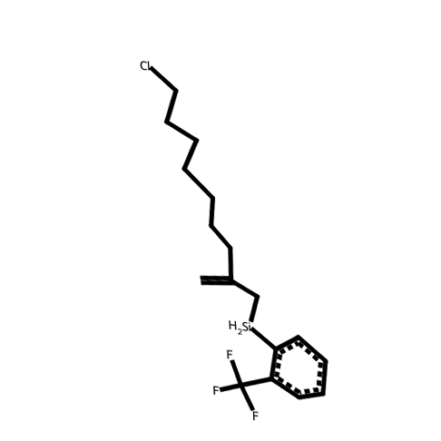 C=C(CCCCCCCCl)C[SiH2]c1ccccc1C(F)(F)F